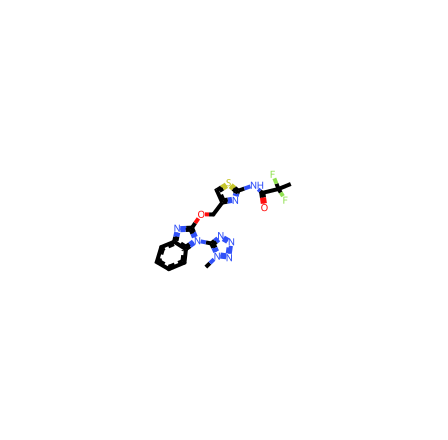 Cn1nnnc1-n1c(OCc2csc(NC(=O)C(C)(F)F)n2)nc2ccccc21